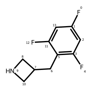 Fc1cc(F)c(CC2CNC2)c(F)c1